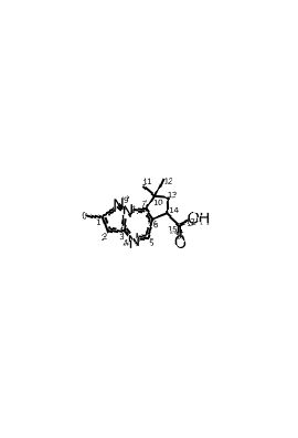 Cc1cc2ncc3c(n2n1)C(C)(C)CC3C(=O)O